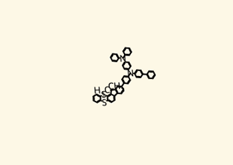 CC1(C)c2cc(-c3ccc(N(c4ccc(-c5ccccc5)cc4)c4ccc(N(c5ccccc5)c5ccccc5)cc4)cc3)ccc2-c2ccc3c(c21)Sc1ccccc1S3